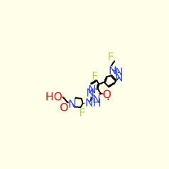 COc1nc(N[C@H]2CCN(C(=O)CO)C[C@H]2F)nn2cc(F)c(-c3ccc4nnn(CCF)c4c3)c12